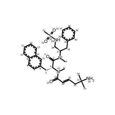 CN(C(=O)[C@@H](Cc1ccc2ccccc2c1)N(C)C(=O)/C=C/CC(C)(C)N)[C@@H](CNS(C)(=O)=O)Cc1ccccc1